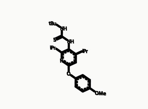 COc1ccc(Oc2cc(C(C)C)c(NC(=S)NC(C)(C)C)c(C(C)C)n2)cc1